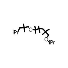 CC(C)CC(C)(C)COC(C)(C)C(C)(C)CC(C)(C)COC(C)C